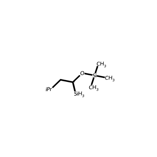 CC(C)C[C]([SiH3])O[Si](C)(C)C